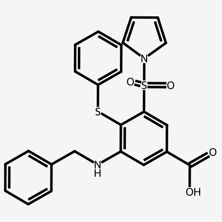 O=C(O)c1cc(NCc2ccccc2)c(Sc2ccccc2)c(S(=O)(=O)n2cccc2)c1